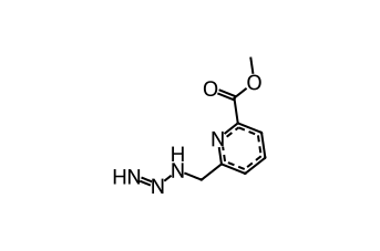 COC(=O)c1cccc(CNN=N)n1